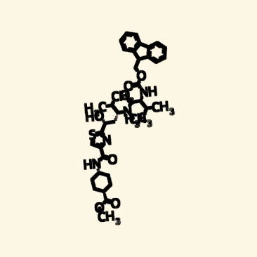 COC(=O)[C@H]1CC[C@H](NC(=O)c2csc([C@H](O)C[C@H](C(C)C)N(C)C(=O)[C@@H](NC(=O)OCC3c4ccccc4-c4ccccc43)C(C)C)n2)CC1